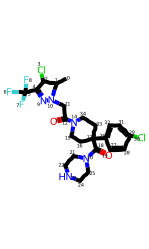 CC1C(Cl)C(C(F)(F)F)=NN1CC(=O)N1CCC(C(=O)N2CCNCC2)(c2ccc(Cl)cc2)CC1